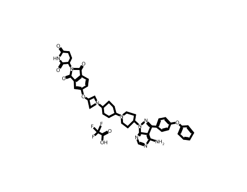 Nc1ncnc2c1c(-c1ccc(Oc3ccccc3)cc1)nn2C1CCN(C2CCC(N3CC(Oc4ccc5c(c4)C(=O)N(C4CCC(=O)NC4=O)C5=O)C3)CC2)CC1.O=C(O)C(F)(F)F